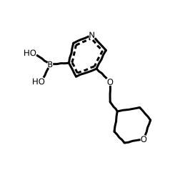 OB(O)c1cncc(OCC2CCOCC2)c1